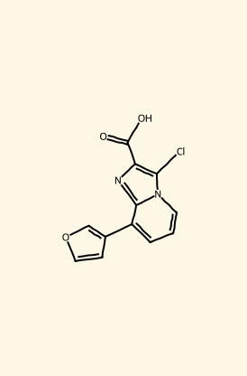 O=C(O)c1nc2c(-c3ccoc3)cccn2c1Cl